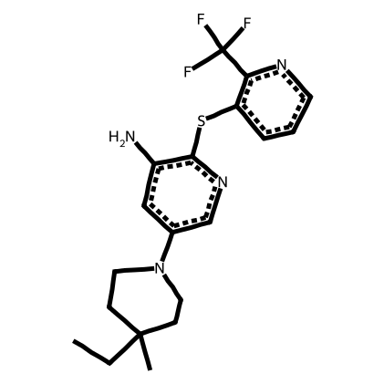 CCC1(C)CCN(c2cnc(Sc3cccnc3C(F)(F)F)c(N)c2)CC1